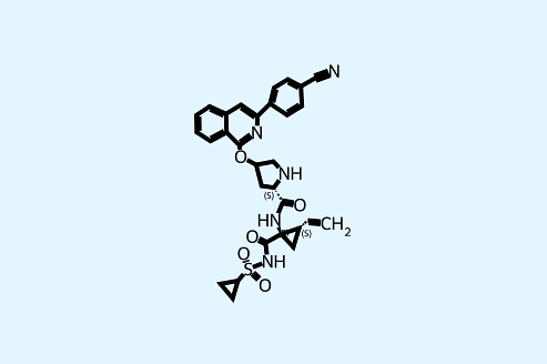 C=C[C@@H]1C[C@]1(NC(=O)[C@@H]1CC(Oc2nc(-c3ccc(C#N)cc3)cc3ccccc23)CN1)C(=O)NS(=O)(=O)C1CC1